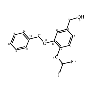 OCc1ccc(OC(F)F)c(OCc2ccccc2)c1